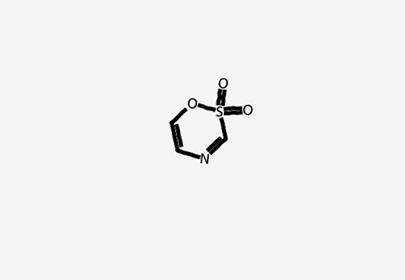 O=S1(=O)C=NC=CO1